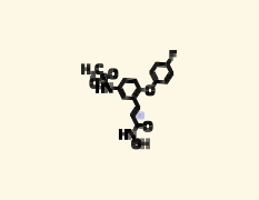 CS(=O)(=O)Nc1ccc(Oc2ccc(F)cc2)c(/C=C/C(=O)NO)c1